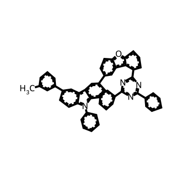 Cc1cccc(-c2ccc3c(c2)c2cc(-c4ccc5oc6cccc(-c7nc(-c8ccccc8)nc(-c8ccccc8)n7)c6c5c4)ccc2n3-c2ccccc2)c1